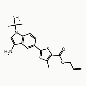 C=CCOC(=O)c1sc(-c2ccc3c(c2)c(N)cn3C(C)(C)N)nc1C